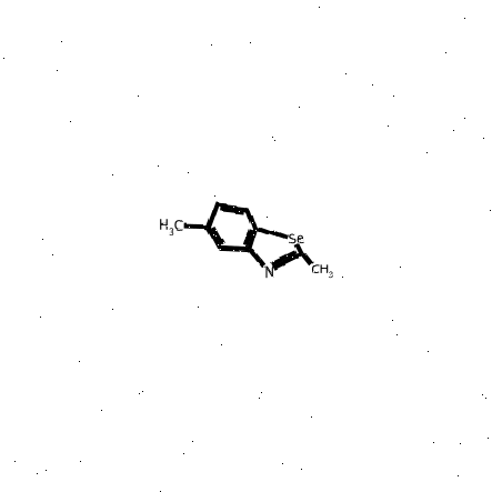 Cc1ccc2[se]c(C)nc2c1